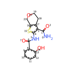 NC(=O)c1c(NC(=O)c2ccccc2O)sc2c1CCOC2